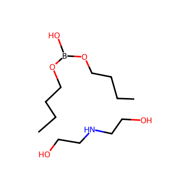 CCCCOB(O)OCCCC.OCCNCCO